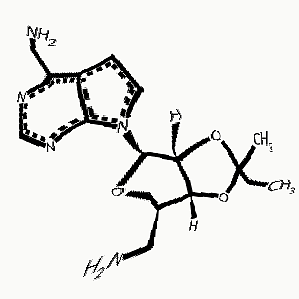 CC1(C)O[C@@H]2[C@H](O1)[C@@H](CN)O[C@H]2n1ccc2c(N)ncnc21